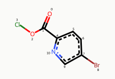 O=C(OCl)c1ccc(Br)cn1